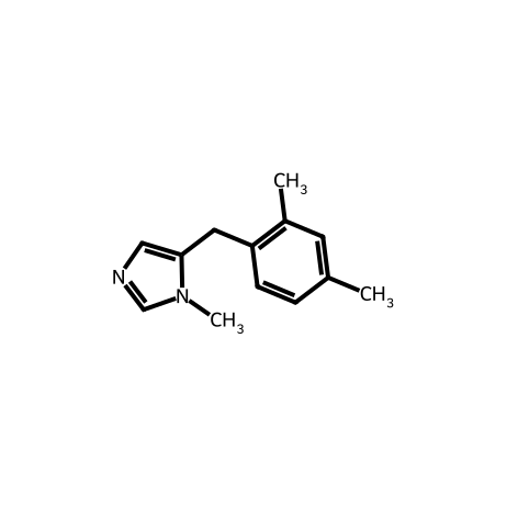 Cc1ccc(Cc2cncn2C)c(C)c1